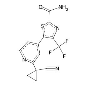 N#CC1(c2cc(-c3sc(C(N)=O)nc3C(F)(F)F)ccn2)CC1